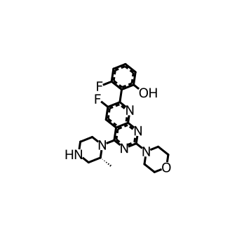 C[C@@H]1CNCCN1c1nc(N2CCOCC2)nc2nc(-c3c(O)cccc3F)c(F)cc12